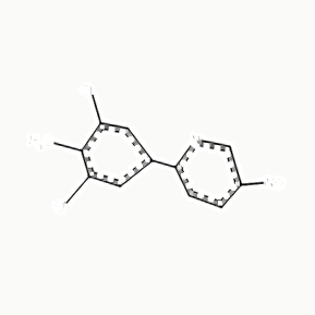 Cc1c(Cl)cc(-c2ccc(N=O)cn2)cc1Cl